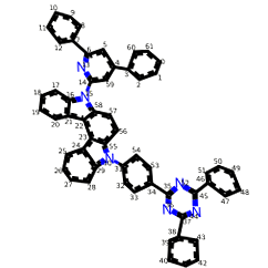 c1ccc(-c2cc(-c3ccccc3)nc(-n3c4ccccc4c4c5c6ccccc6n(-c6ccc(-c7nc(-c8ccccc8)nc(-c8ccccc8)n7)cc6)c5ccc43)c2)cc1